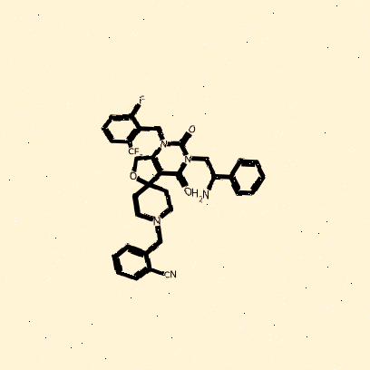 N#Cc1ccccc1CN1CCC2(CC1)OCc1c2c(=O)n(CC(N)c2ccccc2)c(=O)n1Cc1c(F)cccc1C(F)(F)F